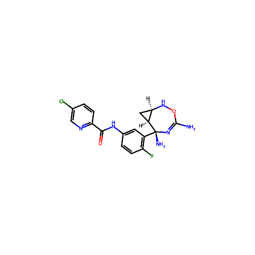 NC1=N[C@](N)(c2cc(NC(=O)c3ccc(Cl)cn3)ccc2F)[C@H]2C[C@H]2NO1